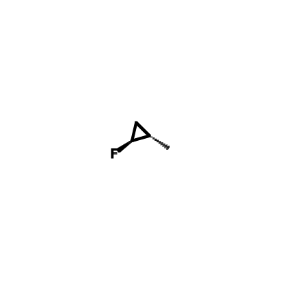 C[C@H]1C[C@@H]1F